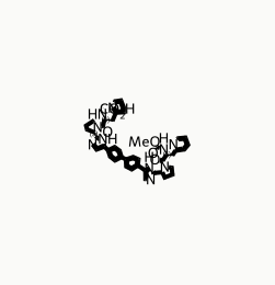 COC(=O)N[C@@H](Cc1ccccn1)C(=O)N1CCCC1c1ncc(-c2ccc(-c3ccc(-c4cnc([C@@H]5CCCN5C(=O)[C@H](Cc5ccccn5)NC(=O)O)[nH]4)cc3)cc2)[nH]1